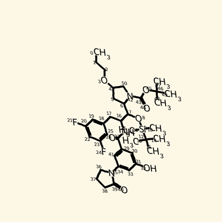 CCCOC1CC(C(O[Si](C)(C)C(C)(C)C)C(Cc2cc(F)cc(F)c2)NC(=O)c2cc(O)cc(N3CCCC3=O)c2)N(C(=O)OC(C)(C)C)C1